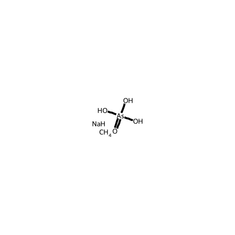 C.O=[As](O)(O)O.[NaH]